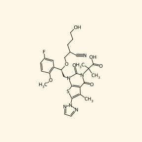 COc1ccc(F)cc1[C@H](Cn1c(=O)n(C(C)(C)C(=O)O)c(=O)c2c(C)c(-n3nccn3)sc21)OCC(C#N)CCCO